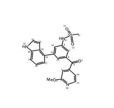 COc1cc(C(=O)c2cc(NS(C)(=O)=O)cc(-c3cccc4[nH]ccc34)c2)ccn1